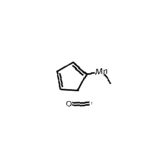 [CH3][Mn][C]1=CC=CC1.[C]=O